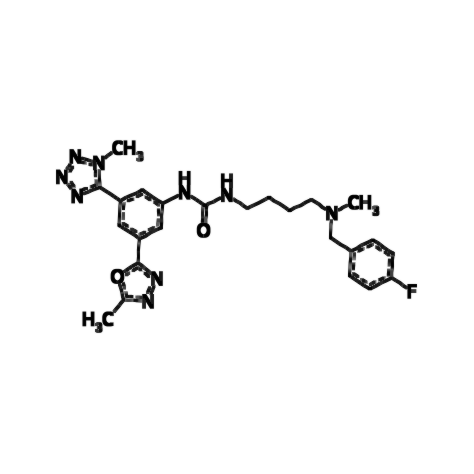 Cc1nnc(-c2cc(NC(=O)NCCCCN(C)Cc3ccc(F)cc3)cc(-c3nnnn3C)c2)o1